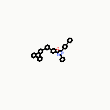 c1ccc(-c2ccc(-c3nc(-c4ccccc4)nc4c3oc3cc(-c5cccc(-c6ccc7c8ccccc8c8ccccc8c7c6)c5)ccc34)cc2)cc1